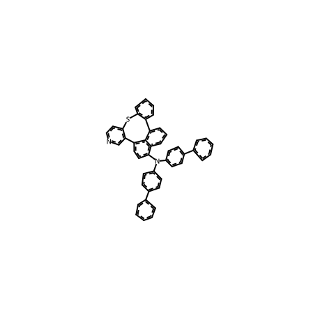 c1ccc(-c2ccc(N(c3ccc(-c4ccccc4)cc3)c3ccc4c5c(cccc35)-c3ccccc3Sc3ccncc3-4)cc2)cc1